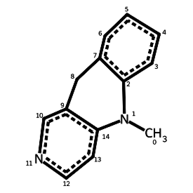 CN1c2ccccc2Cc2cnccc21